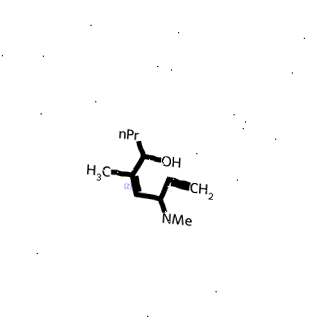 C=CC(/C=C(/C)C(O)CCC)NC